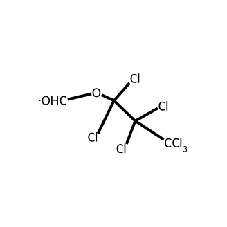 O=[C]OC(Cl)(Cl)C(Cl)(Cl)C(Cl)(Cl)Cl